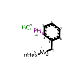 CCCCC[CH2][Mg][CH2]c1ccccc1.Cl.P